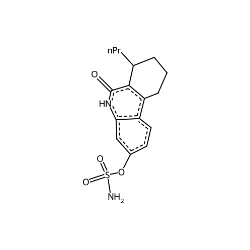 CCCC1CCCc2c1c(=O)[nH]c1cc(OS(N)(=O)=O)ccc21